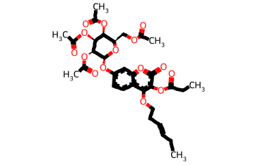 CC/C=C/CCOc1c(OC(=O)CC)c(=O)oc2cc(O[C@@H]3O[C@H](COC(C)=O)[C@H](OC(C)=O)[C@H](OC(C)=O)[C@H]3OC(C)=O)ccc12